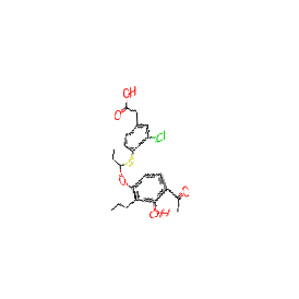 CCCc1c(OC(CC)Sc2ccc(CC(=O)O)cc2Cl)ccc(C(C)=O)c1O